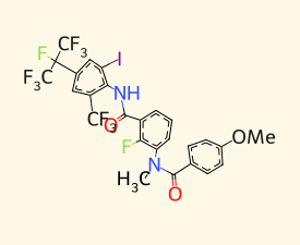 COc1ccc(C(=O)N(C)c2cccc(C(=O)Nc3c(I)cc(C(F)(C(F)(F)F)C(F)(F)F)cc3C(F)(F)F)c2F)cc1